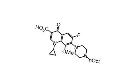 CCCCCCCCN1CCN(c2c(F)cc3c(=O)c(C(=O)O)cn(C4CC4)c3c2OC)CC1